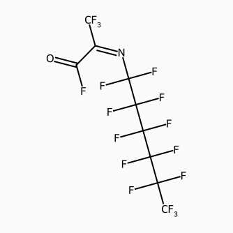 O=C(F)C(=NC(F)(F)C(F)(F)C(F)(F)C(F)(F)C(F)(F)C(F)(F)F)C(F)(F)F